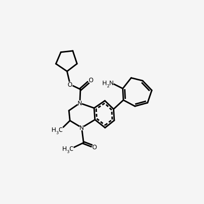 CC(=O)N1c2ccc(C3=C(N)CC=CC=C3)cc2N(C(=O)OC2CCCC2)CC1C